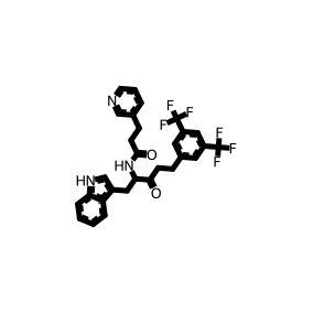 O=C(CCc1cccnc1)NC(Cc1c[nH]c2ccccc12)C(=O)CCc1cc(C(F)(F)F)cc(C(F)(F)F)c1